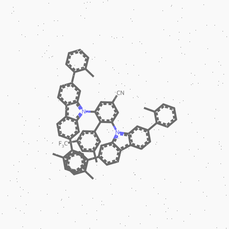 Cc1cc(-c2c(-n3c4cc(-c5ccccc5C)ccc4c4ccc(-c5ccccc5C)cc43)cc(C#N)cc2-n2c3cc(-c4ccccc4C)ccc3c3ccc(-c4ccccc4C)cc32)cc(C(F)(F)F)c1